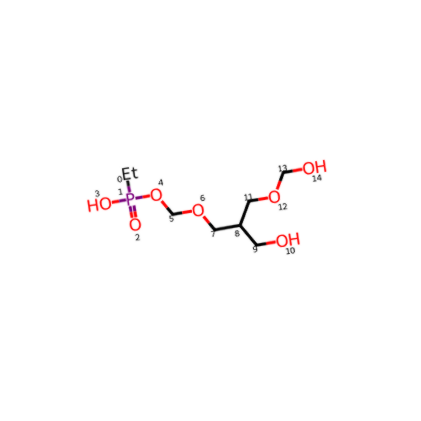 CCP(=O)(O)OCOCC(CO)COCO